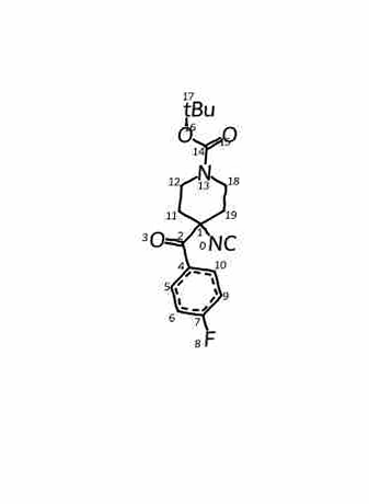 [C-]#[N+]C1(C(=O)c2ccc(F)cc2)CCN(C(=O)OC(C)(C)C)CC1